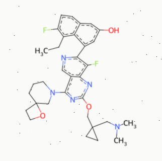 CCc1c(F)ccc2cc(O)cc(-c3ncc4c(N5CCCC6(CCO6)C5)nc(OCC5(CN(C)C)CC5)nc4c3F)c12